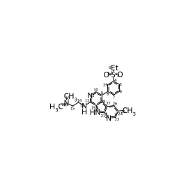 CCS(=O)(=O)c1cccc(-c2cnc(NCCN(C)C)c3[nH]c4ncc(C)cc4c23)c1